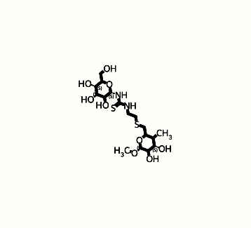 CO[C@H]1OC(CSCCNC(=S)N[C@H]2OC(CO)[C@@H](O)[C@H](O)C2O)C(C)[C@H](O)C1O